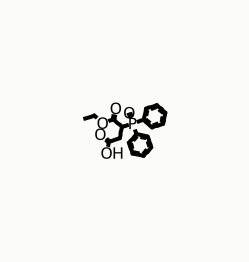 CCOC(=O)C(CC(=O)O)P(=O)(c1ccccc1)c1ccccc1